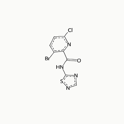 O=C(Nc1ncns1)c1nc(Cl)ccc1Br